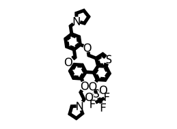 O=Cc1ccc(CN2CCCC2)cc1OCc1csc2ccc(OS(=O)(=O)C(F)(F)F)c(-c3ccccc3OCCN3CCCC3)c12